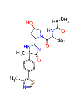 BBC(=O)NC(C(=O)N1C[C@H](O)C[C@H]1C1=NC(=O)C(C)(c2ccc(-c3scnc3C)cc2)N1)C(C)(C)C